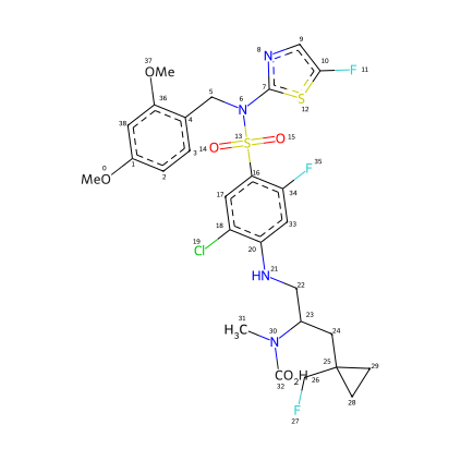 COc1ccc(CN(c2ncc(F)s2)S(=O)(=O)c2cc(Cl)c(NCC(CC3(CF)CC3)N(C)C(=O)O)cc2F)c(OC)c1